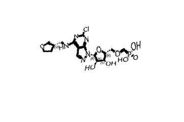 O=P(O)(O)COC[C@H]1O[C@@H](n2ncc3c(NC[C@@H]4CCOC4)nc(Cl)nc32)[C@H](O)[C@@H]1O